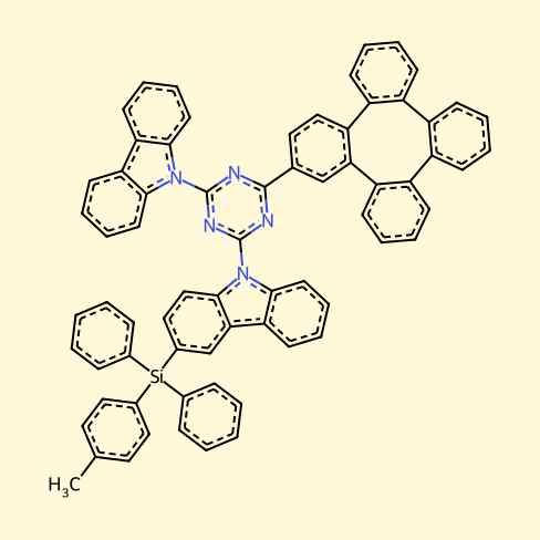 Cc1ccc([Si](c2ccccc2)(c2ccccc2)c2ccc3c(c2)c2ccccc2n3-c2nc(-c3ccc4c(c3)-c3ccccc3-c3ccccc3-c3ccccc3-4)nc(-n3c4ccccc4c4ccccc43)n2)cc1